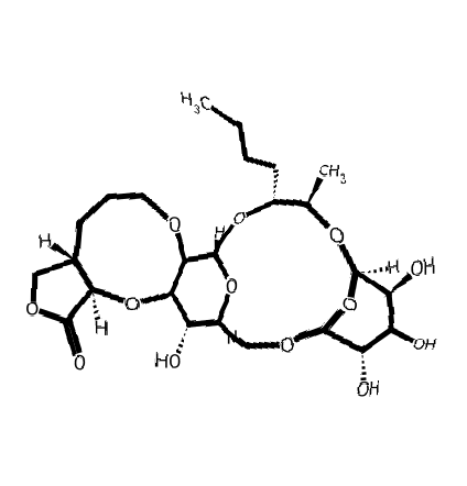 CCCC[C@H]1O[C@@H]2O[C@@H](COC3O[C@@H](O[C@@H]1C)[C@@H](O)C(O)[C@@H]3O)[C@H](O)C1O[C@H]3C(=O)OC[C@@H]3CCCOC12